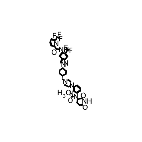 Cn1c(=O)n(C2CCC(=O)NC2=O)c2cccc(N3CCN(C[C@H]4CC[C@H](n5cc6cc(NC(=O)c7cccc(C(F)(F)F)n7)c(C(F)F)cc6n5)CC4)CC3)c21